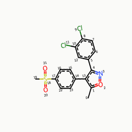 Cc1onc(-c2ccc(Cl)c(Cl)c2)c1-c1ccc(S(C)(=O)=O)cc1